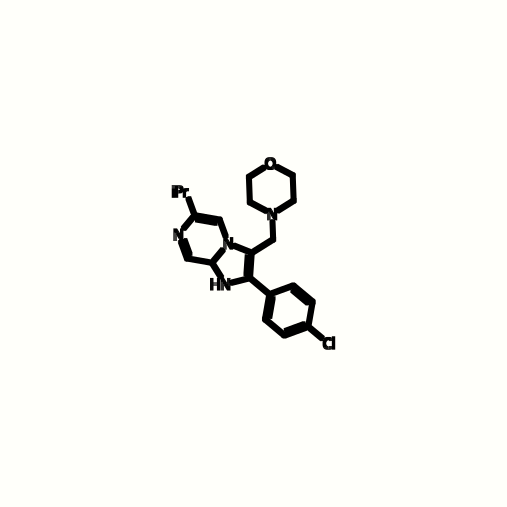 CC(C)C1=CN2C(CN3CCOCC3)=C(c3ccc(Cl)cc3)NC2C=N1